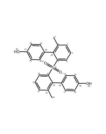 Cc1cccc(S(=O)(=O)c2cccc(C)c2-c2ccc(O)cc2)c1-c1ccc(O)cc1